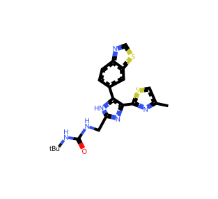 Cc1csc(-c2nc(CNC(=O)NC(C)(C)C)[nH]c2-c2ccc3ncsc3c2)n1